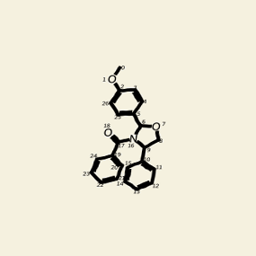 COc1ccc(C2OCC(c3ccccc3)N2C(=O)c2ccccc2)cc1